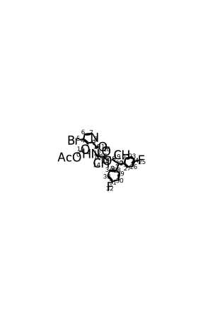 CC(=O)OCOc1c(Br)ccnc1C(=O)N[C@@H](C)C(=O)O[C@@H](C)C(c1ccc(F)cc1)c1ccc(F)cc1